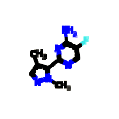 Cc1cnn(C)c1-c1ncc(F)c(N)n1